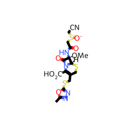 CO[C@@]1(NC(=O)C[S+]([O-])CC#N)C(=O)N2C(C(=O)O)=C(CSc3nnc(C)o3)CS[C@@H]21